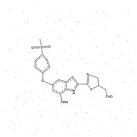 COc1cc(Oc2ccc(S(C)(=O)=O)cc2)cc2cc(C3=NCC(CC=O)S3)[nH]c12